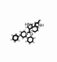 Cc1cc2c([nH]1)CCC[C@]21CNCC1C(=O)N1CC[C@@H](c2ccccc2)C[C@H]1C1CCCCC1